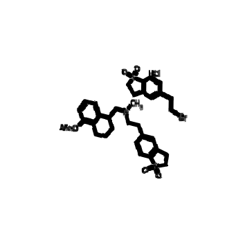 COc1cccc2c1CCCC2CN(C)CCc1ccc2c(c1)CCS2(=O)=O.Cl.O=S1(=O)CCc2cc(CCBr)ccc21